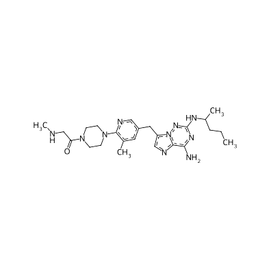 CCCC(C)Nc1nc(N)c2ncc(Cc3cnc(N4CCN(C(=O)CNC)CC4)c(C)c3)n2n1